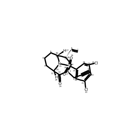 C#CCN1C[C@@H](C=C)[C@H]2CCC[C@@H](C1=O)N2S(=O)(=O)c1cc(Cl)cc(Cl)c1